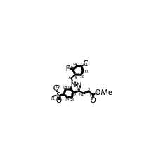 COC(=O)/C=C/c1nn(Cc2ccc(Cl)cc2F)c2cc(S(C)(=O)=O)ccc12